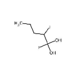 CCCC(I)C(O)(O)I